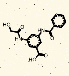 O=C(CO)Nc1cc(NC(=O)c2ccccc2)cc(C(=O)O)c1